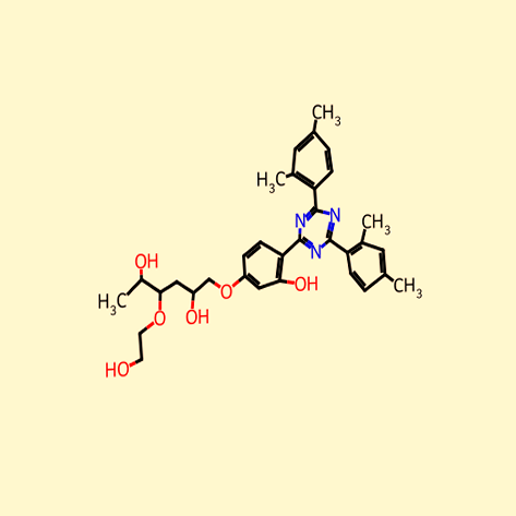 Cc1ccc(-c2nc(-c3ccc(C)cc3C)nc(-c3ccc(OCC(O)CC(OCCO)C(C)O)cc3O)n2)c(C)c1